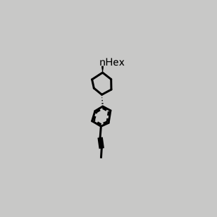 CC#Cc1ccc([C@H]2CC[C@H](CCCCCC)CC2)cc1